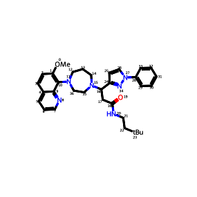 COc1ccc2cccnc2c1N1CCCN(C(CC(=O)NCCC(C)(C)C)c2ccn(-c3ccccc3)n2)CC1